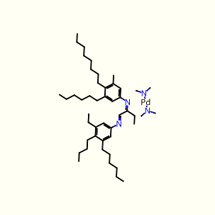 CCCCCCCCc1c(C)cc(N=C(C=Nc2cc(CC)c(CCCC)c(CCCCCC)c2)CC)cc1CCCCCC.C[N](C)[Pd][N](C)C